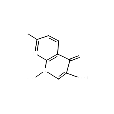 Cn1cc(C(=O)O)c(=O)c2ccc(Cl)nc21